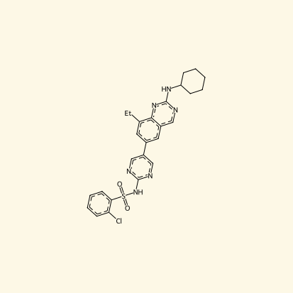 CCc1cc(-c2cnc(NS(=O)(=O)c3ccccc3Cl)nc2)cc2cnc(NC3CCCCC3)nc12